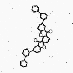 O=c1c2cc(-c3cccc(-c4ccccc4)c3)ccc2oc2c1ccc1oc3ccc(-c4cccc(-c5ccccc5)c4)cc3c(=O)c12